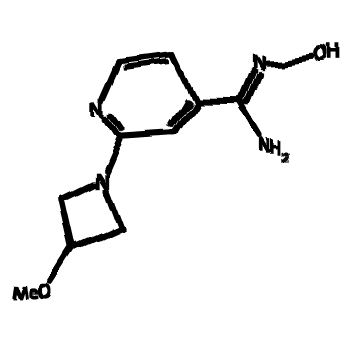 COC1CN(c2cc(/C(N)=N/O)ccn2)C1